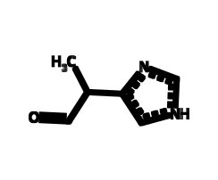 CC(C=O)c1c[nH]cn1